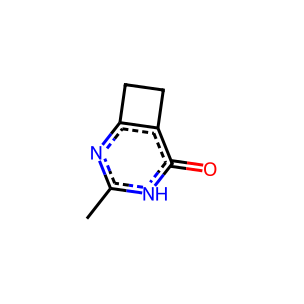 Cc1nc2c(c(=O)[nH]1)CC2